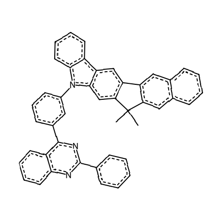 CC1(C)c2cc3ccccc3cc2-c2cc3c4ccccc4n(-c4cccc(-c5nc(-c6ccccc6)nc6ccccc56)c4)c3cc21